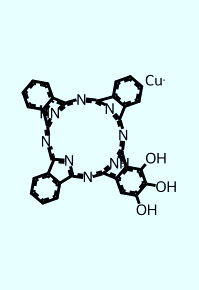 Oc1cc2c3nc4nc(nc5[nH]c(nc6nc(nc([nH]3)c2c(O)c1O)-c1ccccc1-6)c1ccccc51)-c1ccccc1-4.[Cu]